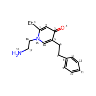 CCc1cc(=O)c(CCc2ccccc2)cn1CCN